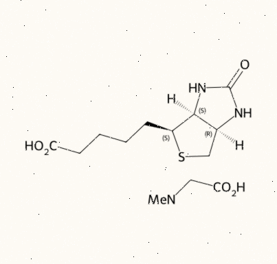 CNCC(=O)O.O=C(O)CCCC[C@@H]1SC[C@@H]2NC(=O)N[C@@H]21